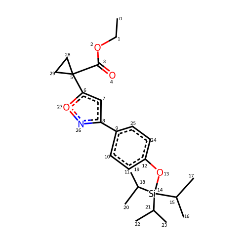 CCOC(=O)C1(c2cc(-c3ccc(O[Si](C(C)C)(C(C)C)C(C)C)cc3)no2)CC1